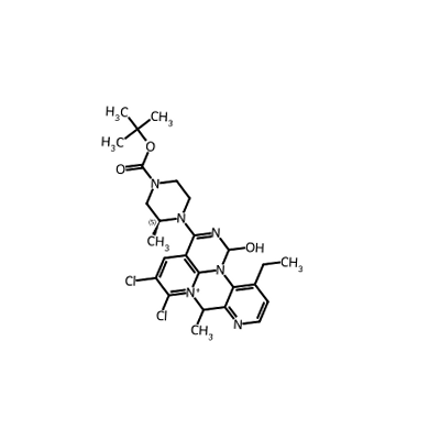 CCc1ccnc2c1N1c3c(cc(Cl)c(Cl)[n+]3C2C)C(N2CCN(C(=O)OC(C)(C)C)C[C@@H]2C)=NC1O